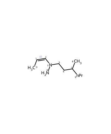 C/C=C\N(N)CCC(C)CCC